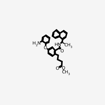 COC(=O)CCCc1ccc(Oc2ccccc2N)cc1C(=O)N[C@H](C)c1cccc2ccccc12